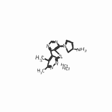 Cc1nnc2sc3c(N4CC[C@@H](N)C4)ncnc3c2c1C.Cl.Cl